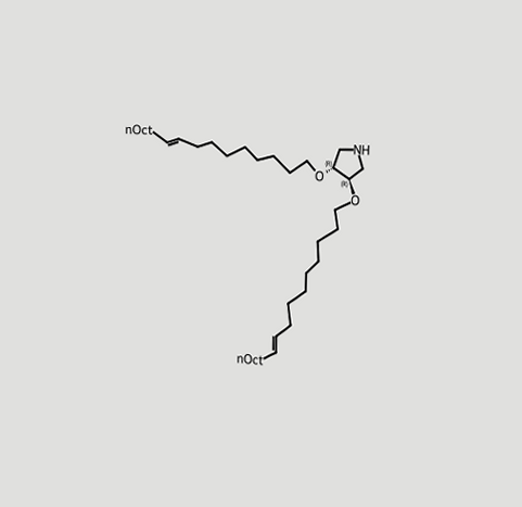 CCCCCCCCC=CCCCCCCCCO[C@@H]1CNC[C@H]1OCCCCCCCCC=CCCCCCCCC